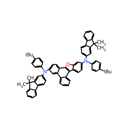 CC(C)(C)c1ccc(N(c2ccc3c(c2)C(C)(C)c2ccccc2-3)c2ccc3c(c2)oc2c4ccc(N(c5ccc(C(C)(C)C)cc5)c5ccc6c(c5)C(C)(C)c5ccccc5-6)cc4c4ccccc4c32)cc1